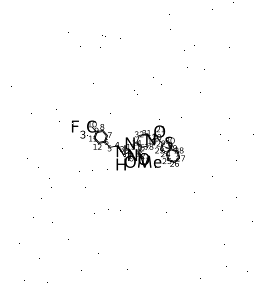 COn1c(NCCc2ccc(C(F)(F)F)cc2)nc2c(c1=O)CN(C(=O)c1cc3ccccc3s1)CC2